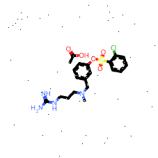 CC(=O)O.CN(CCCNC(=N)N)Cc1cccc(OS(=O)(=O)c2ccccc2Cl)c1